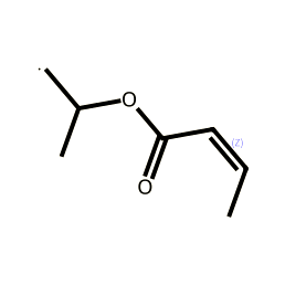 [CH2]C(C)OC(=O)/C=C\C